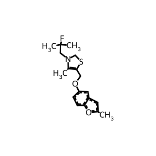 CC1=C(COc2ccc3oc(C)cc3c2)SCN1CC(C)(C)F